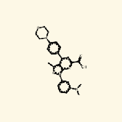 Cc1nn(-c2cccc(N(C)C)c2)c2nc(C(=O)O)cc(-c3ccc(N4CCOCC4)cc3)c12